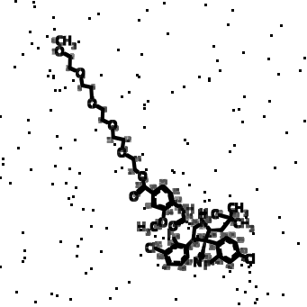 COCCOCCOCCOCCOCCOC(=O)c1ccc(NC(=O)[C@@H]2N[C@@H](CC(C)(C)C)[C@](C#N)(c3ccc(Cl)cc3F)[C@H]2c2cccc(Cl)c2F)c(OC)c1